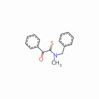 CN(Cc1ccccc1)C(=S)C(=O)c1ccccc1